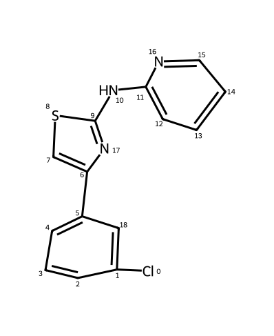 Clc1cccc(-c2csc(Nc3ccccn3)n2)c1